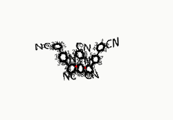 N#Cc1cccc(-c2ccc3c4ccccc4n(-c4cc(C#N)cc(-n5c6ccccc6c6ccc(-c7cccc(C#N)c7)cc65)c4-c4cc(C#N)cc(C#N)c4)c3c2)c1